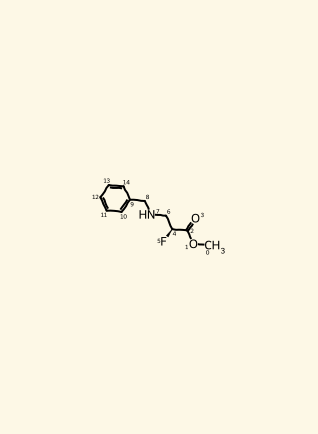 COC(=O)[C@@H](F)CNCc1ccccc1